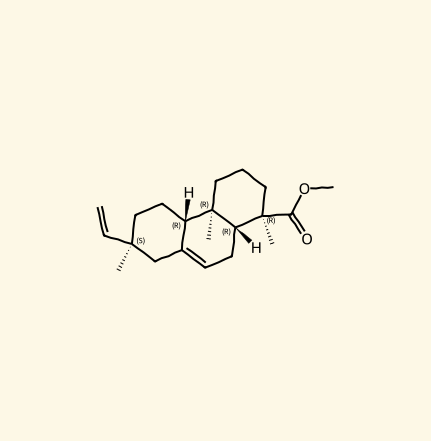 C=C[C@@]1(C)CC[C@H]2C(=CC[C@@H]3[C@]2(C)CCC[C@@]3(C)C(=O)OC)C1